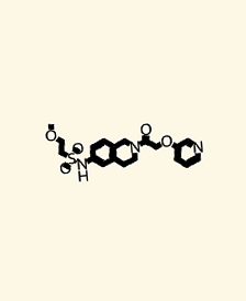 COCCS(=O)(=O)Nc1ccc2c(c1)CCN(C(=O)COc1cccnc1)C2